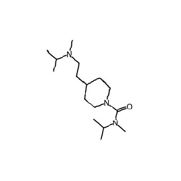 CC(C)N(C)CCC1CCN(C(=O)N(C)C(C)C)CC1